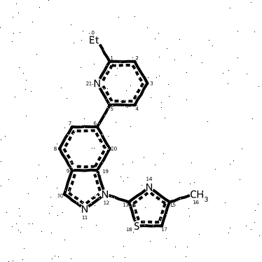 CCc1cccc(-c2ccc3cnn(-c4nc(C)cs4)c3c2)n1